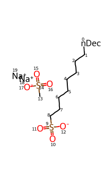 CCCCCCCCCCCCCCCCCCS(=O)(=O)[O-].CS(=O)(=O)[O-].[Na+].[Na+]